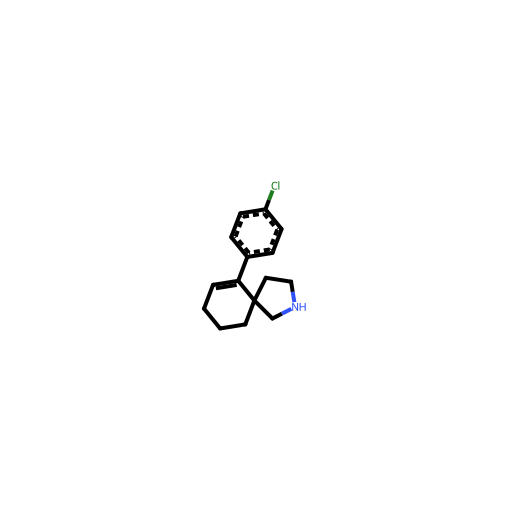 Clc1ccc(C2=CCCCC23CCNC3)cc1